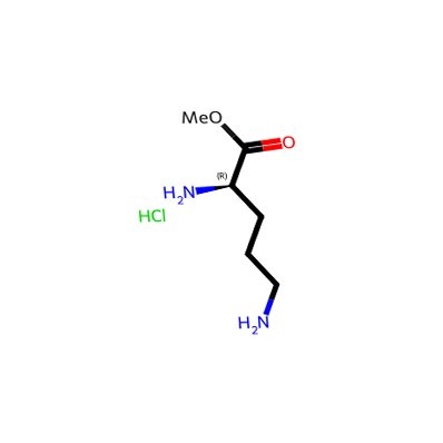 COC(=O)[C@H](N)CCCN.Cl